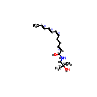 C/C=C/C=C/C=C\CC/C=C/C(=O)NCC(C)(C)O